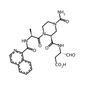 C[C@H](NC(=O)c1nccc2ccccc12)C(=O)N1CCN(C(N)=O)C[C@H]1C(=O)N[C@H](C=O)CC(=O)O